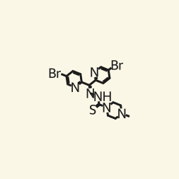 CN1CCN(C(=S)NN=C(c2ccc(Br)cn2)c2ccc(Br)cn2)CC1